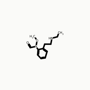 CCNCCc1ccccc1N(C=O)OC